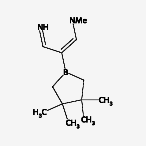 CN/C=C(\C=N)B1CC(C)(C)C(C)(C)C1